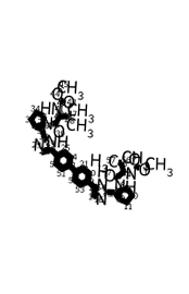 COC(=O)N[C@H](C(=O)N1C2CCC(C2)C1c1ncc(-c2ccc(-c3ccc(-c4cnc(C5C6CCC(C6)N5C(=O)[C@@H](NC(=O)OC)C(C)C)[nH]4)cc3)cc2)[nH]1)C(C)C